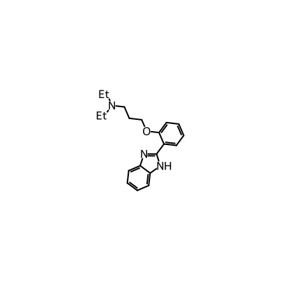 CCN(CC)CCCOc1ccccc1-c1nc2ccccc2[nH]1